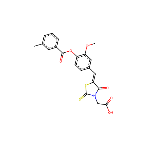 COc1cc(/C=C2\SC(=S)N(CC(=O)O)C2=O)ccc1OC(=O)c1cccc(C)c1